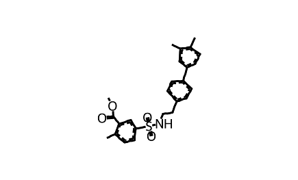 COC(=O)c1cc(S(=O)(=O)NCCc2ccc(-c3ccc(C)c(C)c3)cc2)ccc1C